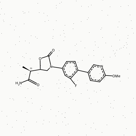 COc1ccc(-c2ccc(N3CC([C@H](C)C(N)=O)OC3=O)cc2F)cn1